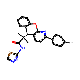 CCc1ccc(-c2ccc3c(n2)Oc2ccccc2[C@@H]3C(C)(C)C(=O)Nc2nncs2)cc1